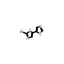 CCc1ncc(-c2cnco2)s1